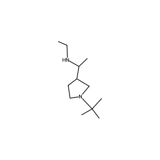 CCNC(C)C1CCN(C(C)(C)C)C1